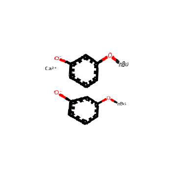 CCCCOc1cccc([O-])c1.CCCCOc1cccc([O-])c1.[Ca+2]